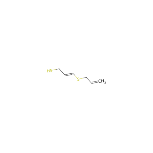 C=CCSC=CCS